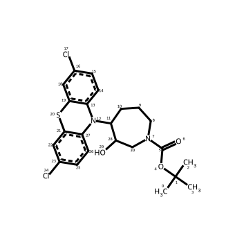 CC(C)(C)OC(=O)N1CCCC(N2c3ccc(Cl)cc3Sc3cc(Cl)ccc32)C(O)C1